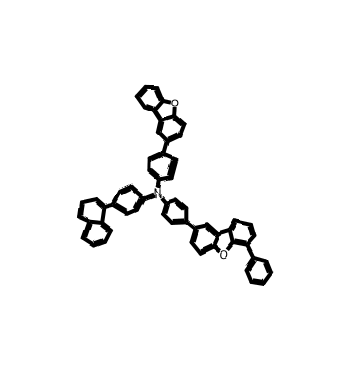 c1ccc(-c2cccc3c2oc2ccc(-c4ccc(N(c5ccc(-c6ccc7oc8ccccc8c7c6)cc5)c5ccc(-c6cccc7ccccc67)cc5)cc4)cc23)cc1